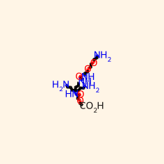 NCCCC(CCCN)(CCCNC(=O)NCCOCCOCCN)NC(=O)COCC(=O)O